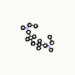 c1ccc(-c2cccc(N(c3ccccc3)c3ccc(-c4c5ccccc5c(-c5cccc(-c6c7ccccc7c(-c7ccc(N(c8ccccc8)c8cccc(-c9ccccc9)c8)cc7)c7ccccc67)c5)c5ccccc45)cc3)c2)cc1